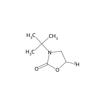 [2H]C1CN(C(C)(C)C)C(=O)O1